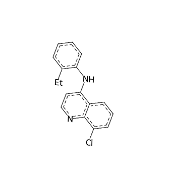 CCc1ccccc1Nc1ccnc2c(Cl)cccc12